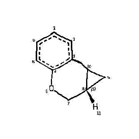 c1ccc2c(c1)OC[C@H]1CC21